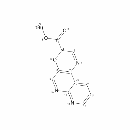 CC(C)(C)OC(=O)C1C=Nc2c(cnc3ncccc23)O1